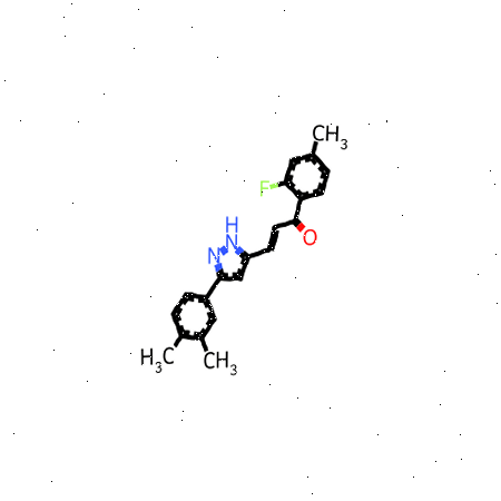 Cc1ccc(C(=O)/C=C/c2cc(-c3ccc(C)c(C)c3)n[nH]2)c(F)c1